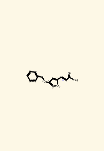 O=C(O)/C=C/c1cc(OCc2ccccc2)no1